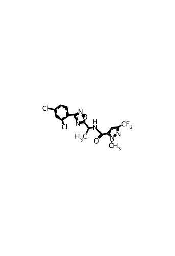 CC(NC(=O)c1cc(C(F)(F)F)nn1C)c1nc(-c2ccc(Cl)cc2Cl)no1